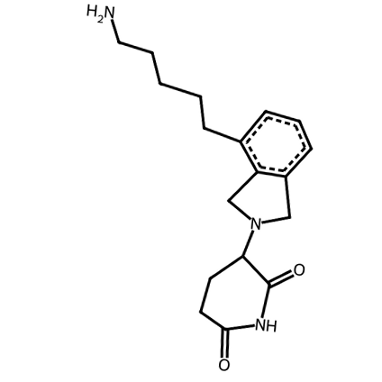 NCCCCCc1cccc2c1CN(C1CCC(=O)NC1=O)C2